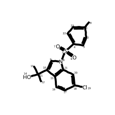 Cc1ccc(S(=O)(=O)n2cc(C(C)(C)O)c3ccc(Cl)cc32)cc1